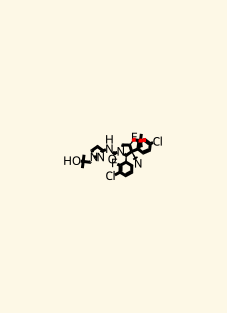 CC(C)(C)C[C@@H]1CN(C(=O)NC2=NN(CC(C)(C)O)CC2)[C@H](C2CC=CC(Cl)=C2F)[C@@]1(C#N)c1ccc(Cl)cc1F